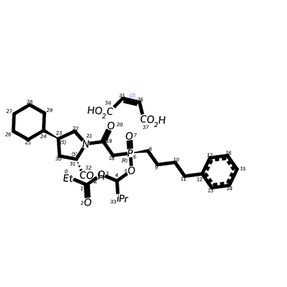 CCC(=O)OC(O[P@](=O)(CCCCc1ccccc1)CC(=O)N1C[C@H](C2CCCCC2)C[C@H]1C(=O)O)C(C)C.O=C(O)/C=C\C(=O)O